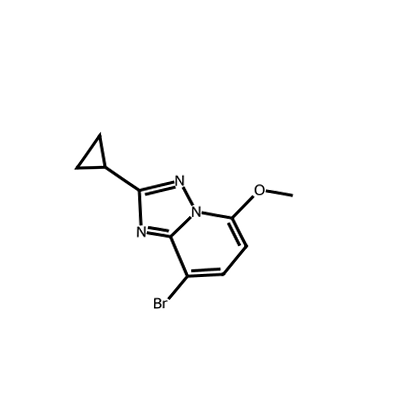 COc1ccc(Br)c2nc(C3CC3)nn12